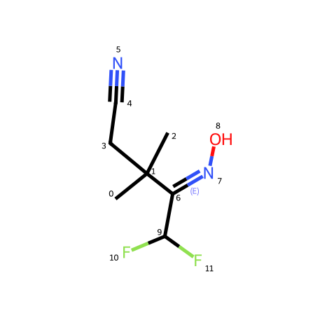 CC(C)(CC#N)/C(=N\O)C(F)F